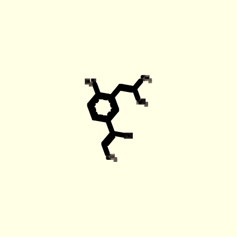 C/C=C(\O)c1ccc(N)c(/C=C(/C)N)c1